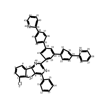 Clc1cccc2c1sc1c(-c3ccccc3)nc(-c3cc(-c4ccc(-c5ccccn5)cc4)cc(-c4ccc(-c5ccccn5)cc4)c3)nc12